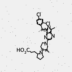 Cc1nn([C@H](C)c2ccc(Cl)cc2Cl)c2nc(N3CC[C@H](N4CCCC4CCC(=O)O)[C@H](C)C3)cnc12